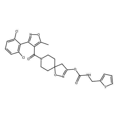 Cc1onc(-c2c(Cl)cccc2Cl)c1C(=O)N1CCC2(CC1)CC(OC(=O)NCc1cccs1)=NO2